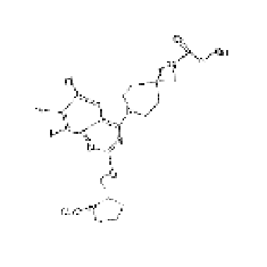 CN1CCC[C@H]1COc1nc(N2CCC3(CC2)CN(C(=O)OC(C)(C)C)C3)c2cc(Cl)c(Br)c(F)c2n1